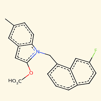 Cc1ccc2c(c1)cc(OC(=O)O)n2Cc1cccc2ccc(F)cc12